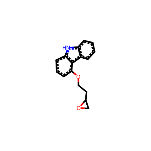 c1ccc2c(c1)[nH]c1cccc(OCCC3CO3)c12